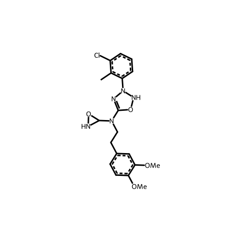 COc1ccc(CCN(C2=NN(c3cccc(Cl)c3C)NO2)C2NO2)cc1OC